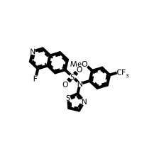 COc1cc(C(F)(F)F)ccc1N(c1nccs1)S(=O)(=O)c1ccc2cncc(F)c2c1